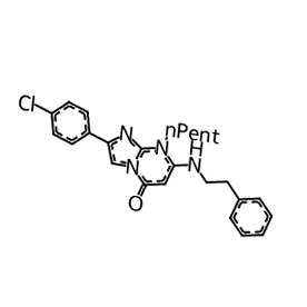 CCCCCn1c(NCCc2ccccc2)cc(=O)n2cc(-c3ccc(Cl)cc3)nc12